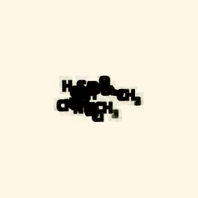 CCCCOC(=O)c1ccc([C@H](C)NC(=O)c2cc(Cl)cnc2Oc2ccc(Cl)c(C)c2)cc1